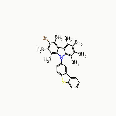 Bc1c(B)c(B)c2c(c1B)c1c(B)c(Br)c(B)c(B)c1n2-c1ccc2sc3ccccc3c2c1